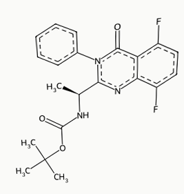 C[C@H](NC(=O)OC(C)(C)C)c1nc2c(F)ccc(F)c2c(=O)n1-c1ccccc1